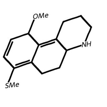 COC1C=CC(SC)=C2CCC3NCCCC3=C21